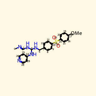 CN=CNC(NCc1ccc(S(=O)(=O)c2ccc(OC)cc2)cc1)Nc1ccncc1